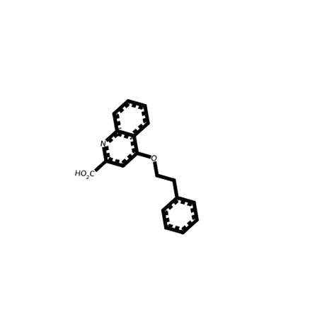 O=C(O)c1cc(OCCc2ccccc2)c2ccccc2n1